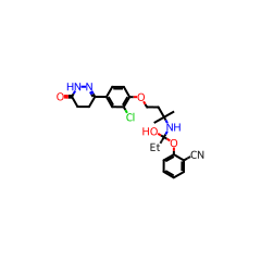 CCC(O)(NC(C)(C)CCOc1ccc(C2=NNC(=O)CC2)cc1Cl)Oc1ccccc1C#N